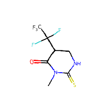 CN1C(=O)C(C(F)(F)C(F)(F)F)CNC1=S